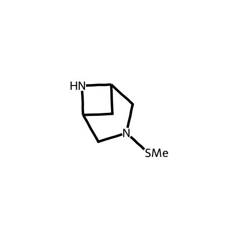 CSN1CC2CC(C1)N2